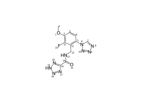 COc1ccc(-n2cnnn2)c(CNC(=O)c2nn[nH]n2)c1F